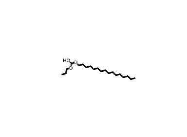 CCCCCCCCCCCCCCCCOC(O)OCCC